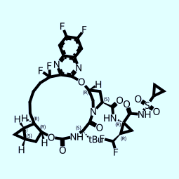 CC(C)(C)[C@@H]1NC(=O)O[C@@H]2C[C@@H]3C[C@@H]3[C@H]2CCCCC(F)(F)c2nc3cc(F)c(F)cc3nc2O[C@@H]2C[C@@H](C(=O)N[C@]3(C(=O)NS(=O)(=O)C4CC4)C[C@H]3C(F)F)N(C2)C1=O